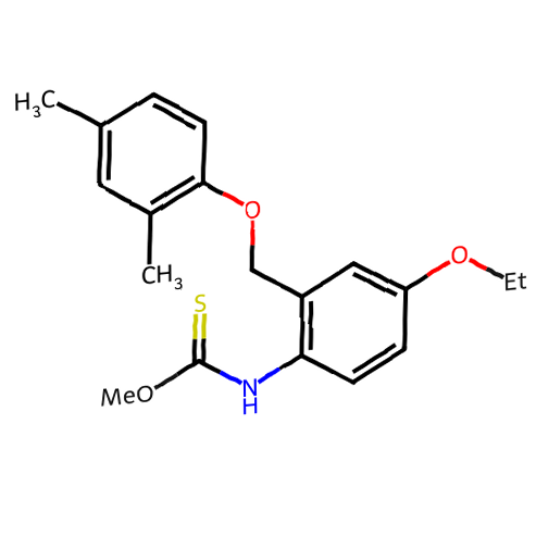 CCOc1ccc(NC(=S)OC)c(COc2ccc(C)cc2C)c1